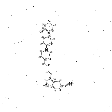 N#Cc1ccc2[nH]cc(CCCCN3CCN(c4ccc(-n5ccccc5=O)cc4)CC3)c2c1